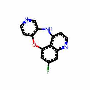 Fc1cc2c3c(ccnc3c1)Nc1cnccc1O2